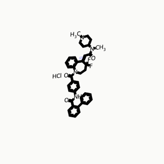 CN1CCC(N(C)C(=O)/C=C2/c3ccccc3N(C(=O)c3ccc(NC(=O)c4ccccc4-c4ccccc4)cc3)CCC2(F)F)CC1.Cl